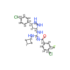 O=C(/N=C(/NC1CCC1)NC1CC(c2ccc(Cl)cc2)NN1)c1ccc(Cl)c(F)c1